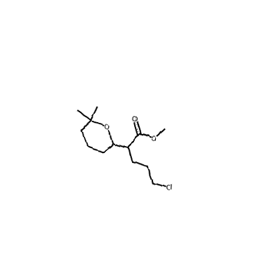 COC(=O)C(CCCCl)C1CCCC(C)(C)O1